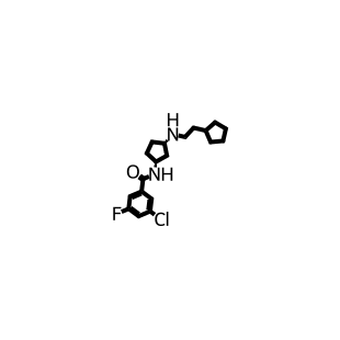 O=C(N[C@H]1CC[C@@H](NCCC2CCCC2)C1)c1cc(F)cc(Cl)c1